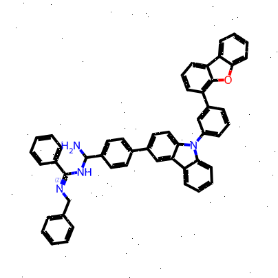 NC(N/C(=N\Cc1ccccc1)c1ccccc1)c1ccc(-c2ccc3c(c2)c2ccccc2n3-c2cccc(-c3cccc4c3oc3ccccc34)c2)cc1